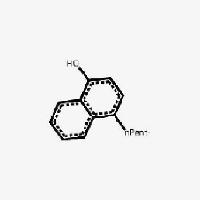 [CH2]CCC[CH]c1ccc(O)c2ccccc12